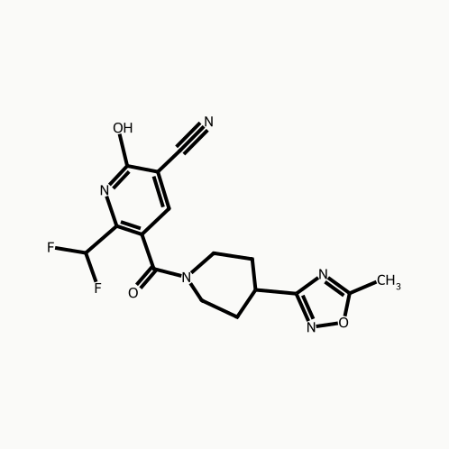 Cc1nc(C2CCN(C(=O)c3cc(C#N)c(O)nc3C(F)F)CC2)no1